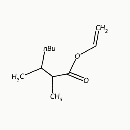 C=COC(=O)C(C)C(C)CCCC